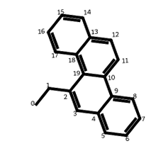 CCc1cc2ccccc2c2ccc3ccccc3c12